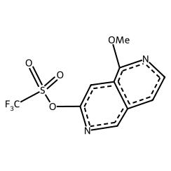 COc1nccc2cnc(OS(=O)(=O)C(F)(F)F)cc12